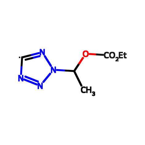 CCOC(=O)OC(C)n1n[c]nn1